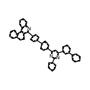 c1ccc(-c2cccc(-c3cc(-c4ccc(-c5ccc(-c6nc7ccccc7c7c6ccc6ccccc67)cc5)cc4)nc(-c4ccccc4)n3)c2)cc1